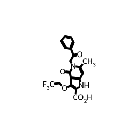 Cc1cc2[nH]c(C(=O)O)c(OCC(F)(F)F)c2c(=O)n1CC(=O)c1ccccc1